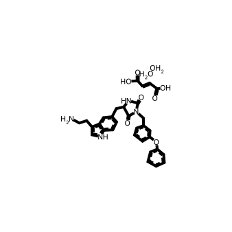 NCCc1c[nH]c2ccc(CC3NC(=O)N(Cc4cccc(Oc5ccccc5)c4)C3=O)cc12.O.O.O=C(O)C=CC(=O)O